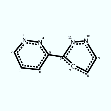 [c]1ccnnc1-c1cccnn1